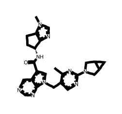 Cc1nc(N2CC3CC3C2)ncc1Cn1cc(C(=O)N[C@@H]2CCc3c2ncn3C)c2cncnc21